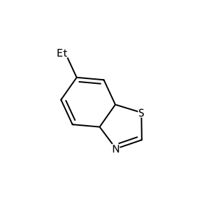 CCC1=CC2SC=NC2C=C1